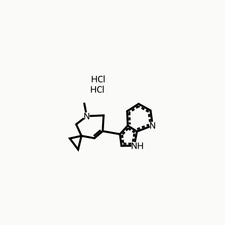 CN1CC(c2c[nH]c3ncccc23)=CC2(CC2)C1.Cl.Cl